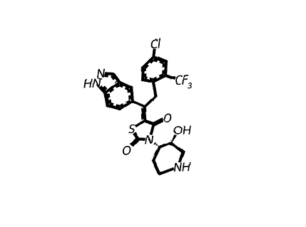 O=C1S/C(=C(/Cc2ccc(Cl)cc2C(F)(F)F)c2ccc3[nH]ncc3c2)C(=O)N1[C@H]1CCNC[C@@H]1O